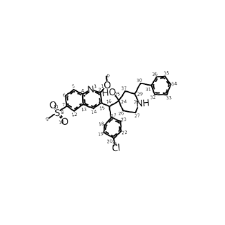 COc1nc2ccc(S(C)(=O)=O)cc2cc1C(c1ccc(Cl)cc1)C1(O)CCNC(Cc2ccccc2)C1